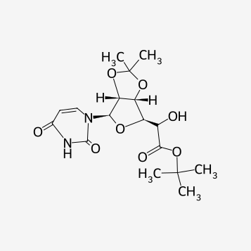 CC(C)(C)OC(=O)C(O)[C@H]1O[C@@H](n2ccc(=O)[nH]c2=O)[C@@H]2OC(C)(C)O[C@@H]21